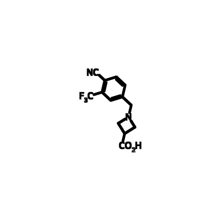 N#Cc1ccc(CN2CC(C(=O)O)C2)cc1C(F)(F)F